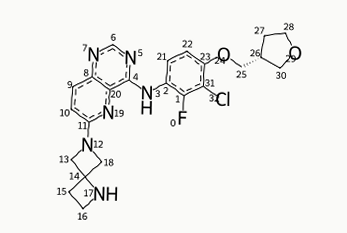 Fc1c(Nc2ncnc3ccc(N4CC5(CCN5)C4)nc23)ccc(OC[C@@H]2CCOC2)c1Cl